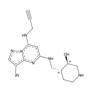 C#CCNc1cc(NC[C@H]2CCNC[C@@H]2O)nc2c(C(C)C)cnn12